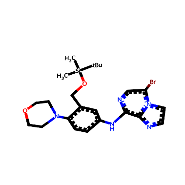 CC(C)(C)[Si](C)(C)OCc1cc(Nc2ncc(Br)n3ccnc23)ccc1N1CCOCC1